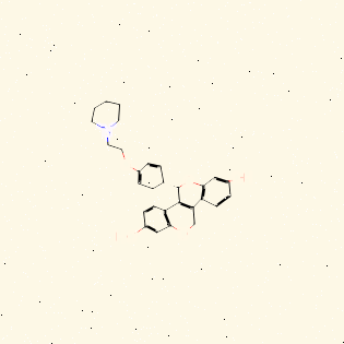 Oc1ccc2c(c1)OC([C@@H]1C=CC(OCCN3CCCCC3)=CC1)C1=C2COc2cc(O)ccc21